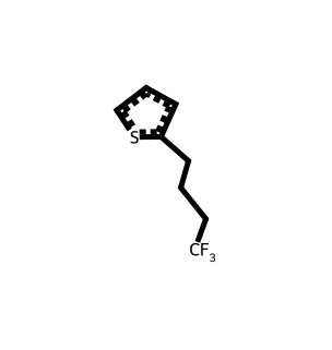 FC(F)(F)CCCc1cccs1